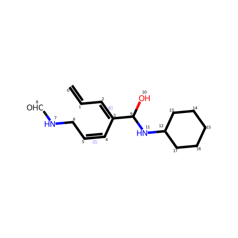 C=C/C=C(\C=C/CNC=O)C(O)NC1CCCCC1